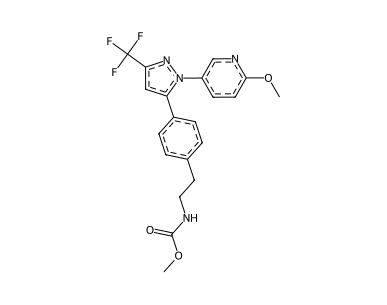 COC(=O)NCCc1ccc(-c2cc(C(F)(F)F)nn2-c2ccc(OC)nc2)cc1